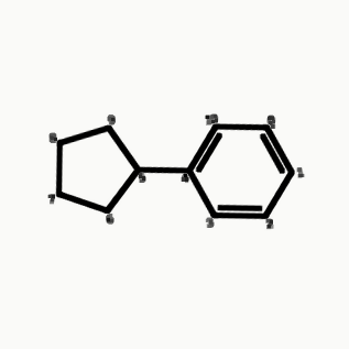 [c]1cccc(C2CCCC2)c1